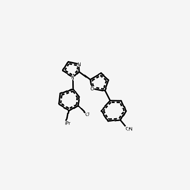 CC(C)c1ccc(-n2ccnc2-c2ccc(-c3ccc(C#N)cc3)o2)cc1Cl